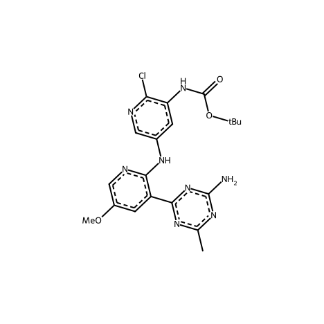 COc1cnc(Nc2cnc(Cl)c(NC(=O)OC(C)(C)C)c2)c(-c2nc(C)nc(N)n2)c1